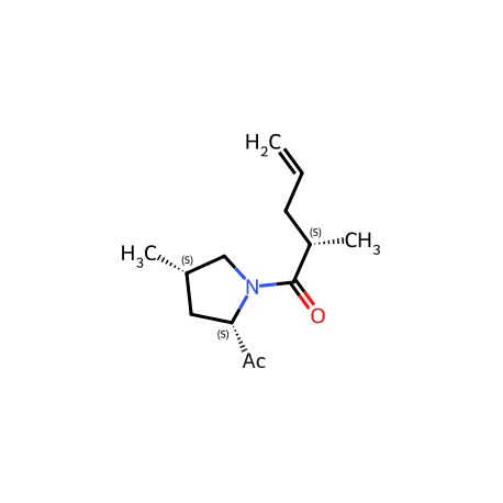 C=CC[C@H](C)C(=O)N1C[C@@H](C)C[C@H]1C(C)=O